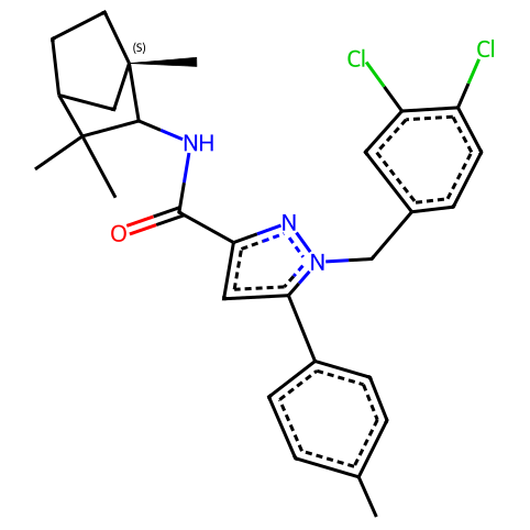 Cc1ccc(-c2cc(C(=O)NC3C(C)(C)C4CC[C@@]3(C)C4)nn2Cc2ccc(Cl)c(Cl)c2)cc1